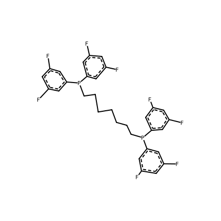 Fc1cc(F)cc(P(CCCCCCCP(c2cc(F)cc(F)c2)c2cc(F)cc(F)c2)c2cc(F)cc(F)c2)c1